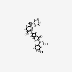 O=C1N(C(CO)c2cccc(Cl)c2)Cc2cc(-c3nc(NC4CCOCC4)ncc3Cl)cn21